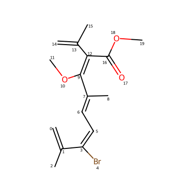 C=C(C)\C(Br)=C/C=C(C)/C(OC)=C(/C(=C)C)C(=O)OC